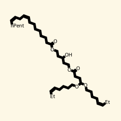 CC/C=C\CCCCOC(CCC(=O)OCCC(O)CCOC(=O)CCCCCCC/C=C\C/C=C\CCCCC)OCCCC/C=C\CC